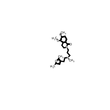 COc1ccc2c(c1OC)CCN(CCCN(C)CCc1cc(C)oc1C)C2=O